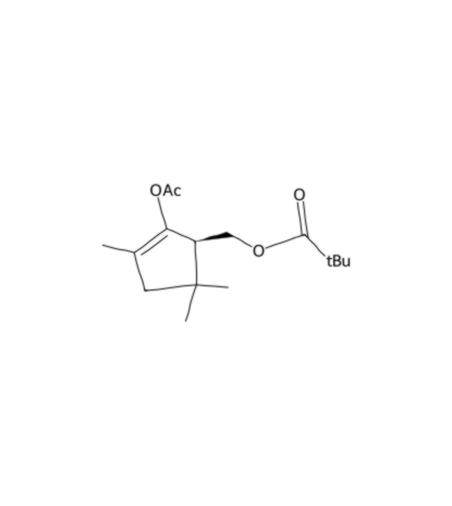 CC(=O)OC1=C(C)CC(C)(C)[C@@H]1COC(=O)C(C)(C)C